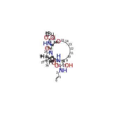 C=CCNC(=O)C(O)[C@@H]1CCCCCCCO[C@@H](C)[C@H](NC(=O)OC(C)(C)C)C(=O)N2C[C@H]3[C@@H]([C@H]2C(=O)N1)C3(C)C